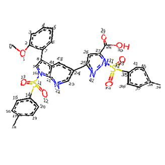 COc1ccccc1-c1cn(S(=O)(=O)c2ccc(C)cc2)c2ncc(-c3cc(C(=O)O)n(S(=O)(=O)c4ccc(C)cc4)n3)cc12